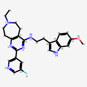 CCN1CCc2nc(-c3cncc(F)c3)nc(NCCc3c[nH]c4cc(OC)ccc34)c2CC1